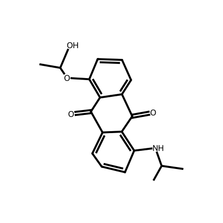 CC(C)Nc1cccc2c1C(=O)c1cccc(OC(C)O)c1C2=O